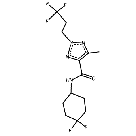 Cc1nn(CCC(F)(F)F)nc1C(=O)NC1CCC(F)(F)CC1